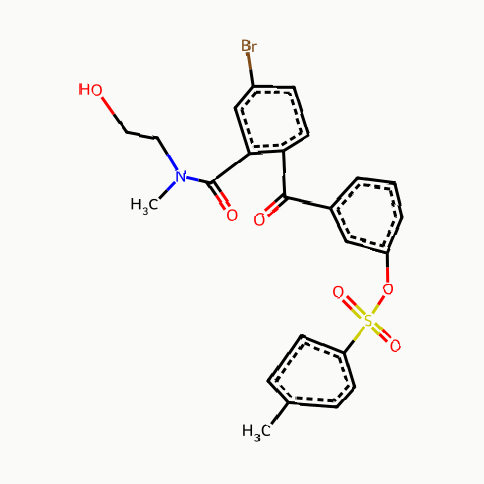 Cc1ccc(S(=O)(=O)Oc2cccc(C(=O)c3ccc(Br)cc3C(=O)N(C)CCO)c2)cc1